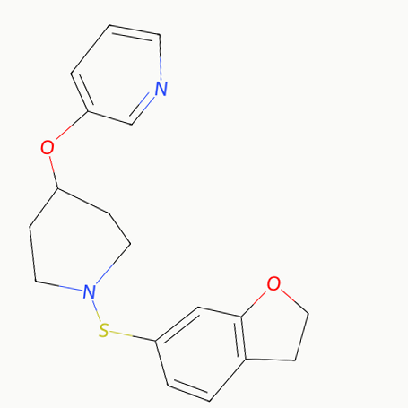 c1cncc(OC2CCN(Sc3ccc4c(c3)OCC4)CC2)c1